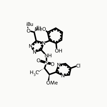 CC[C@@H](C)O[C@H](CC)c1nnc(NS(=O)(=O)[C@@H](C)[C@H](OC)c2ncc(Cl)cn2)n1-c1c(O)cccc1OC